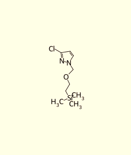 C[Si](C)(C)CCOCn1ccc(Cl)n1